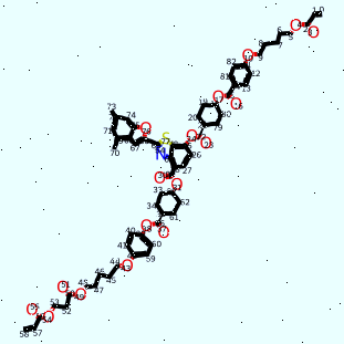 C=CC(=O)OCCCCCOc1ccc(C(=O)O[C@H]2CC[C@H](C(=O)Oc3ccc(C(=O)O[C@H]4CC[C@H](C(=O)Oc5ccc(OCCCCCOC(=O)CCOC(=O)C=C)cc5)CC4)c4nc(-c5cc6c(C)cc(C)cc6o5)sc34)CC2)cc1